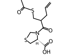 C=CCC(CSC(C)=O)C(=O)N1CSC[C@H]1C(=O)O